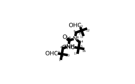 CC(C)(C=O)CNC(=O)N(CC(C)(C)C=O)CC(C)(C)C=O